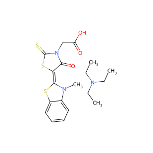 CCN(CC)CC.CN1C(=C2SC(=S)N(CC(=O)O)C2=O)Sc2ccccc21